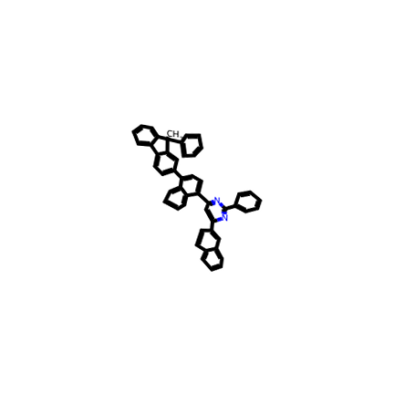 CC1(c2ccccc2)c2ccccc2-c2ccc(-c3ccc(-c4cc(-c5ccc6ccccc6c5)nc(-c5ccccc5)n4)c4ccccc34)cc21